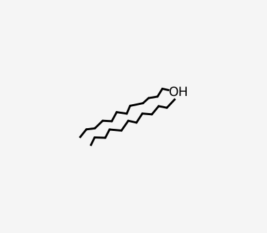 CCCCCCCCCCCC.CCCCCCCCCCCCO